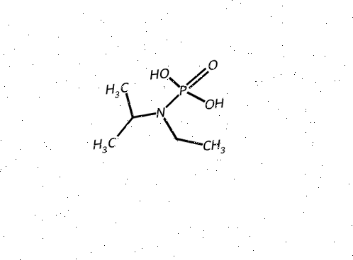 CCN(C(C)C)P(=O)(O)O